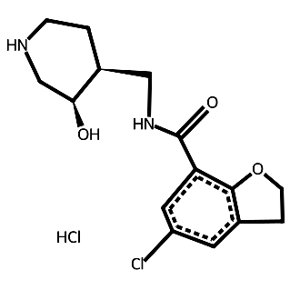 Cl.O=C(NC[C@@H]1CCNC[C@@H]1O)c1cc(Cl)cc2c1OCC2